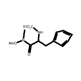 CCOC(=O)NC(Cc1ccccc1)C(=O)N(C)OC